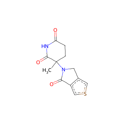 CC1(N2Cc3cscc3C2=O)CCC(=O)NC1=O